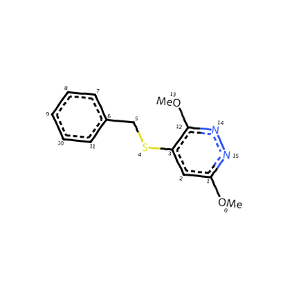 COc1cc(SCc2ccccc2)c(OC)nn1